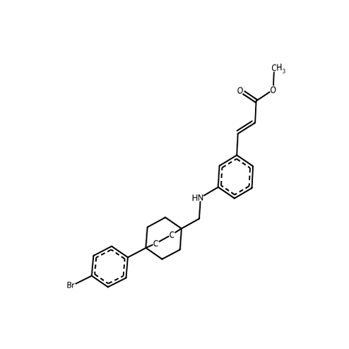 COC(=O)/C=C/c1cccc(NCC23CCC(c4ccc(Br)cc4)(CC2)CC3)c1